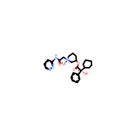 C[N+]1(CC(=O)Nc2cccnn2)CCCC(OC(=O)[C@](O)(c2ccccc2)C2CCCCC2)C1